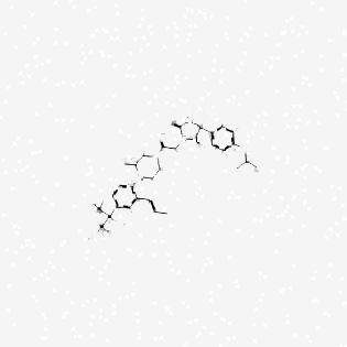 CC=Cc1cc(C(O)(C(F)(F)F)C(F)(F)F)ccc1N1CCN(C(=O)CN2C(=O)N[C@](C)(c3ccc(OC(C)C)cc3)C2=O)CC1C